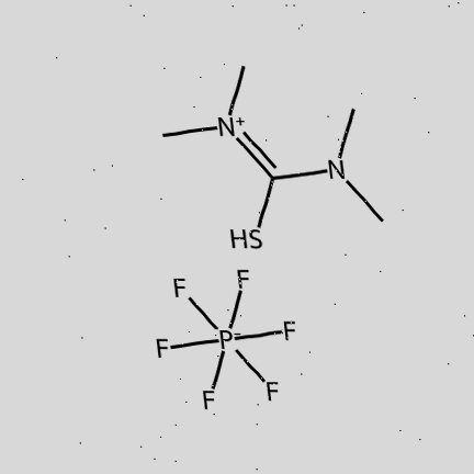 CN(C)C(S)=[N+](C)C.F[P-](F)(F)(F)(F)F